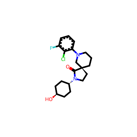 O=C1N([C@H]2CC[C@H](O)CC2)CC[C@@]12CCCN(c1cccc(F)c1Cl)C2